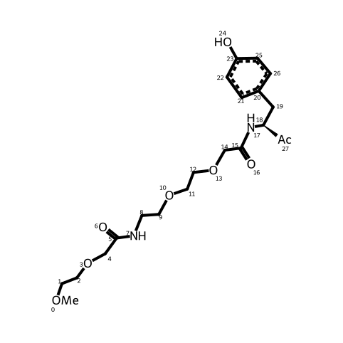 COCCOCC(=O)NCCOCCOCC(=O)N[C@@H](Cc1ccc(O)cc1)C(C)=O